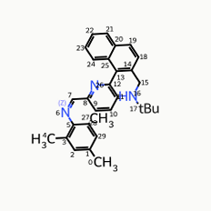 Cc1cc(C)c(/N=C\c2cccc(-c3c(CNC(C)(C)C)ccc4ccccc34)n2)c(C)c1